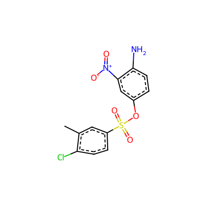 Cc1cc(S(=O)(=O)Oc2ccc(N)c([N+](=O)[O-])c2)ccc1Cl